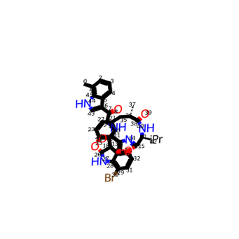 Cc1cccc2c(C(=O)CNC(=O)c3nc4oc3[C@]35c6cc(ccc6OC3Nc3c(Br)cccc35)C[C@H](C)C(=O)N[C@H]4C(C)C)c[nH]c12